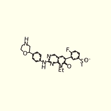 CCn1c(=O)c(-c2cc([S+](C)[O-])ccc2F)cc2cnc(Nc3ccc(C4CNCCO4)cc3)nc21